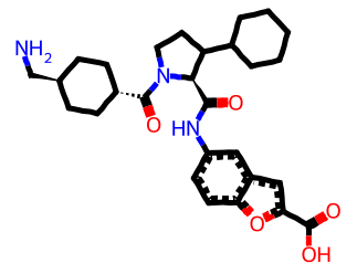 NC[C@H]1CC[C@H](C(=O)N2CCC(C3CCCCC3)[C@H]2C(=O)Nc2ccc3oc(C(=O)O)cc3c2)CC1